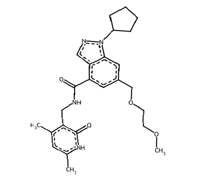 COCCOCc1cc(C(=O)NCc2c(C)cc(C)[nH]c2=O)c2cnn(C3CCCC3)c2c1